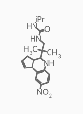 CC(C)NC(=O)NCC(C)(C)C1Nc2ccc([N+](=O)[O-])cc2C2C=CCC21